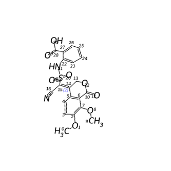 COc1ccc2c(c1OC)C(=O)OC/C2=C(/C#N)S(=O)(=O)Nc1ccccc1C(=O)O